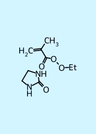 C=C(C)C(=O)OOCC.O=C1NCCN1